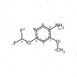 COc1cc(OC(F)F)ncc1N